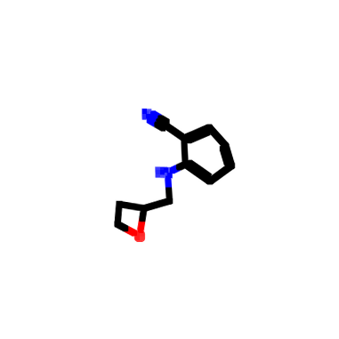 N#Cc1ccccc1NCC1CCO1